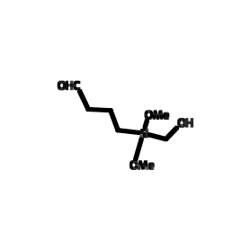 CO[Si](CO)(CCCC=O)OC